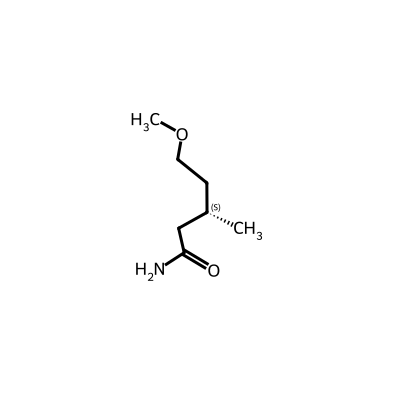 COCC[C@H](C)CC(N)=O